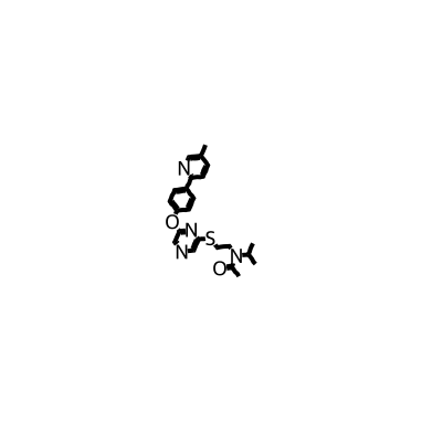 CC(=O)N(CCSc1cncc(Oc2ccc(-c3ccc(C)cn3)cc2)n1)C(C)C